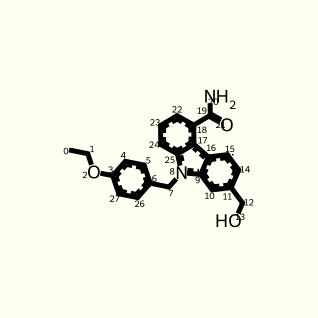 CCOc1ccc(Cn2c3cc(CO)c[c]c3c3c(C(N)=O)cccc32)cc1